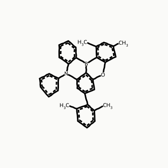 Cc1cc(C)c2c(c1)Oc1cc(-c3c(C)cccc3C)cc3c1B2c1ccccc1N3c1ccccc1